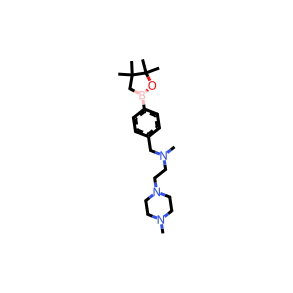 CN1CCN(CCN(C)Cc2ccc(B3CC(C)(C)C(C)(C)O3)cc2)CC1